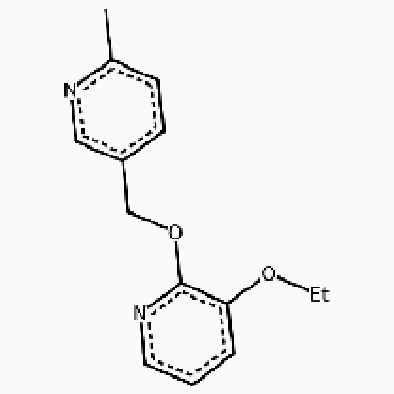 CCOc1cccnc1OCc1ccc(C)nc1